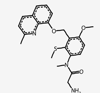 COc1ccc(N(C)C(=O)CN)c(SC)c1COc1cccc2ccc(C)nc12